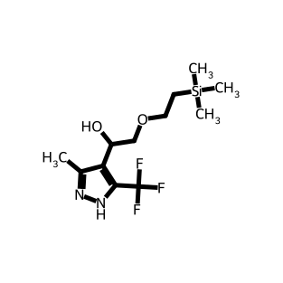 Cc1n[nH]c(C(F)(F)F)c1C(O)COCC[Si](C)(C)C